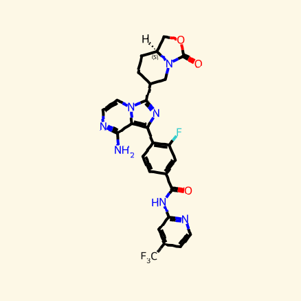 Nc1nccn2c(C3CC[C@H]4COC(=O)N4C3)nc(-c3ccc(C(=O)Nc4cc(C(F)(F)F)ccn4)cc3F)c12